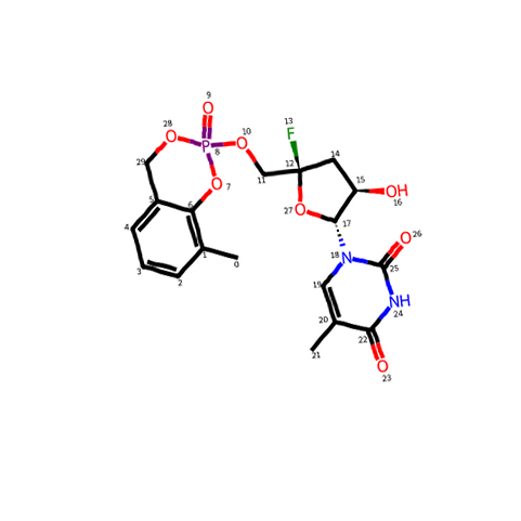 Cc1cccc2c1OP(=O)(OC[C@]1(F)C[C@@H](O)[C@H](n3cc(C)c(=O)[nH]c3=O)O1)OC2